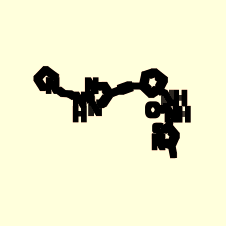 Cc1cc(NC(=O)Nc2cccc(C#Cc3cnc(NCCN4CCCC4)nc3)c2)sn1